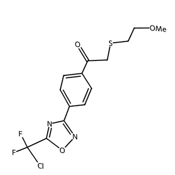 COCCSCC(=O)c1ccc(-c2noc(C(F)(F)Cl)n2)cc1